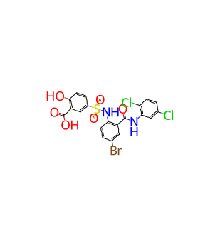 O=C(O)c1cc(S(=O)(=O)Nc2ccc(Br)cc2C(=O)Nc2cc(Cl)ccc2Cl)ccc1O